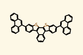 c1ccc2c(c1)cc(-c1ccc3c(c1)sc1c4sc5cc(-c6cc7ccccc7c7ccccc67)ccc5c4c4ccccc4c31)c1ccccc12